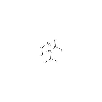 CC(C)NC(C)C.CCP